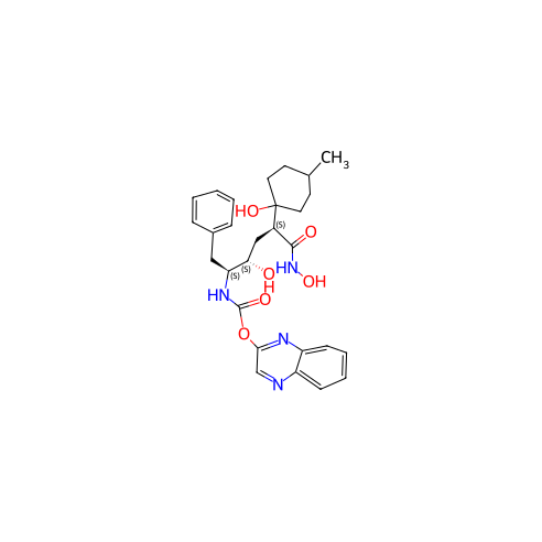 CC1CCC(O)([C@H](C[C@H](O)[C@H](Cc2ccccc2)NC(=O)Oc2cnc3ccccc3n2)C(=O)NO)CC1